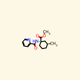 COC(=O)[C@]1(NC(=O)c2ccccn2)CCC[C@H](C)C1